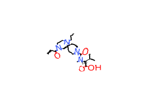 C=CC(=O)N1CCN(CCC)C2(CCN(C(=O)N(C)[C@H](C(=O)O)C(C)C)CC2)C1